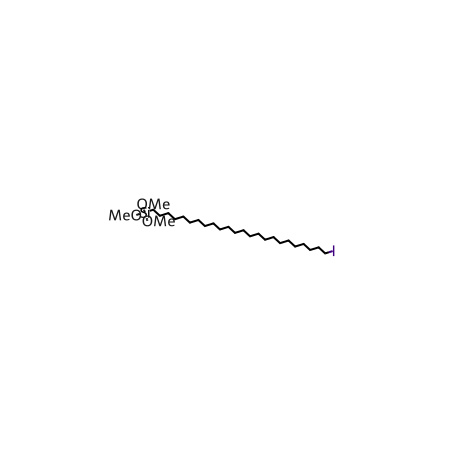 CO[Si](CCCCCCCCCCCCCCCCCCCCCCCCI)(OC)OC